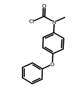 CN(C(=O)Cl)c1ccc(Oc2ccccc2)cc1